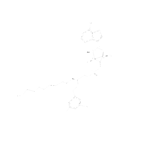 CCCCCCCCCCCCCCCCCCC[C@@H](COP(=O)(O)OC1[C@@]2(C#N)O[C@@H](c3ccc4c(N)ncnn34)[C@H](O)[C@@]12O)OCc1cc(F)cc(C#N)c1